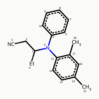 CCC(CC#N)N(c1ccccc1)c1ccc(C)cc1C